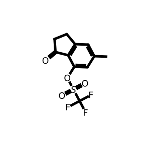 Cc1cc2c(c(OS(=O)(=O)C(F)(F)F)c1)C(=O)CC2